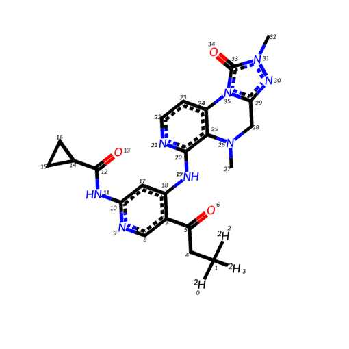 [2H]C([2H])([2H])CC(=O)c1cnc(NC(=O)C2CC2)cc1Nc1nccc2c1N(C)Cc1nn(C)c(=O)n1-2